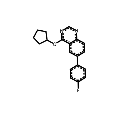 Fc1ccc(-c2ccc3ncnc(OC4CCCC4)c3c2)cc1